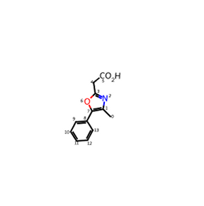 Cc1nc(CC(=O)O)oc1-c1ccccc1